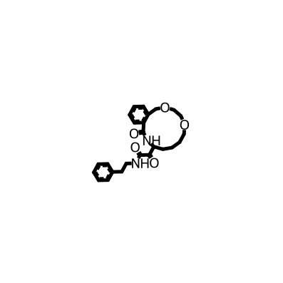 O=C(NCCc1ccccc1)C(=O)C1CCCCOCCOCc2ccccc2C(=O)N1